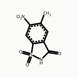 Cc1cc2c(cc1[N+](=O)[O-])S(=O)(=O)NC2=O